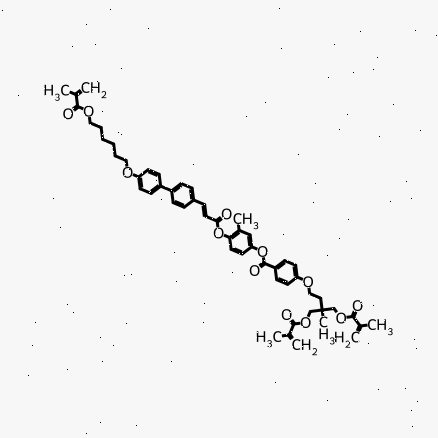 C=C(C)C(=O)OCCCCCCOc1ccc(-c2ccc(/C=C/C(=O)Oc3ccc(OC(=O)c4ccc(OCCC(C)(COC(=O)C(=C)C)COC(=O)C(=C)C)cc4)cc3C)cc2)cc1